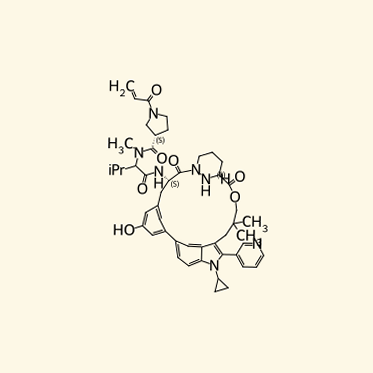 C=CC(=O)N1CC[C@H](C(=O)N(C)C(C(=O)N[C@H]2Cc3cc(O)cc(c3)-c3ccc4c(c3)c(c(-c3cccnc3)n4C3CC3)CC(C)(C)COC(=O)[C@@H]3CCCN(N3)C2=O)C(C)C)C1